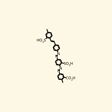 Cc1ccc(/C=C/c2ccc(N=Nc3ccc(N=Nc4ccc(C)c(C(=O)O)c4)c(S(=O)(=O)O)c3)cc2)c(S(=O)(=O)O)c1